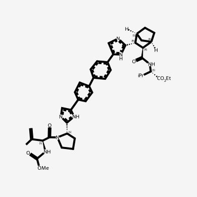 C=C(C)[C@H](NC(=O)OC)C(=O)N1CCC[C@H]1c1ncc(-c2ccc(-c3ccc(-c4cnc([C@@H]5[C@H]6CC[C@H](C6)[C@H]5C(=O)N[C@H](C(=O)OCC)C(C)C)[nH]4)cc3)cc2)[nH]1